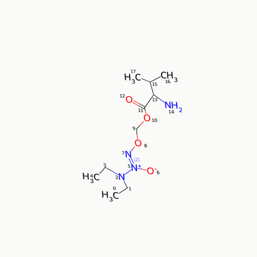 CCN(CC)/[N+]([O-])=N/OCOC(=O)C(N)C(C)C